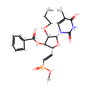 CCO[PH](=O)/C=C/[C@H]1O[C@@H](n2cc(C)c(=O)[nH]c2=O)[C@H](OCCOC)[C@@H]1OC(=O)c1ccccc1